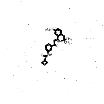 COc1ccc2c(c1)C(=CC(=O)c1cccc(NC(=O)C3CCC3)c1)NC(C)(C)C2